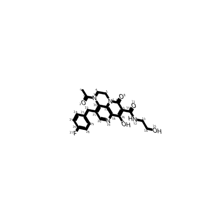 CC(=O)N1CCn2c(=O)c(C(=O)NCCO)c(O)c3ncc(Cc4ccc(F)cc4)c1c32